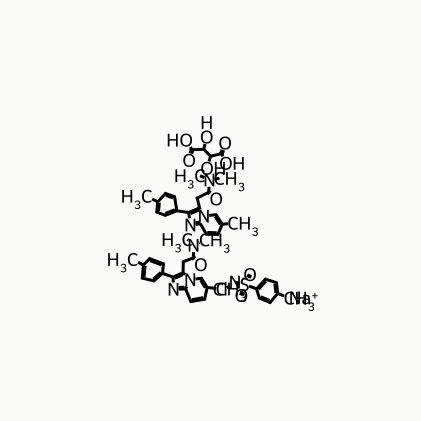 Cc1ccc(-c2nc3ccc(C)cn3c2CC(=O)N(C)C)cc1.Cc1ccc(-c2nc3ccc(C)cn3c2CC(=O)N(C)C)cc1.Cc1ccc(S(=O)(=O)[N-]Cl)cc1.O=C(O)C(O)C(O)C(=O)O.[Na+]